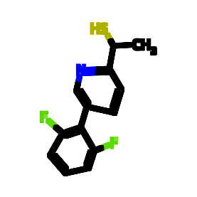 CC(S)c1ccc(-c2c(F)cccc2F)cn1